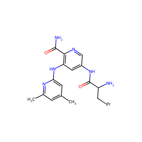 Cc1cc(C)nc(Nc2cc(NC(=O)C(N)CC(C)C)cnc2C(N)=O)c1